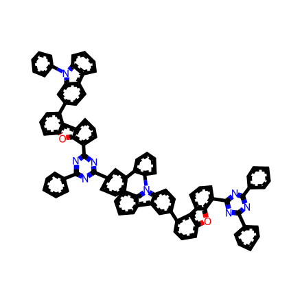 c1ccc(-c2nc(-c3ccccc3)nc(-c3cccc4c3oc3cccc(-c5ccc6c(c5)c5ccccc5n6-c5ccccc5-c5cccc(-c6nc(-c7ccccc7)nc(-c7cccc8c7oc7cccc(-c9ccc%10c%11ccccc%11n(-c%11ccccc%11)c%10c9)c78)n6)c5)c34)n2)cc1